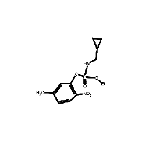 CCOP(=O)(NCC1CC1)Oc1cc(C)ccc1[N+](=O)[O-]